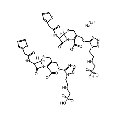 O=C(Cc1cccs1)NC1C(=O)N2C(C(=O)[O-])=C(CSc3nnnn3CCNCS(=O)(=O)O)CS[C@H]12.O=C(Cc1cccs1)NC1C(=O)N2C(C(=O)[O-])=C(CSc3nnnn3CCNCS(=O)(=O)O)CS[C@H]12.[Na+].[Na+]